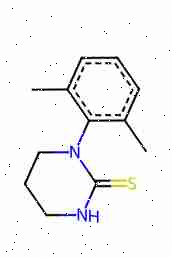 Cc1cccc(C)c1N1CCCNC1=S